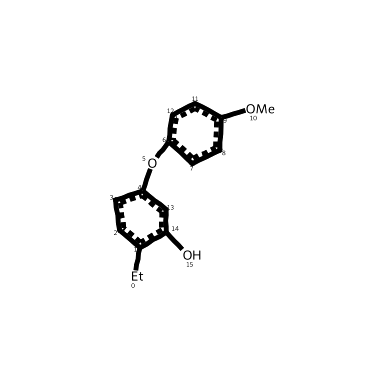 CCc1ccc(Oc2ccc(OC)cc2)cc1O